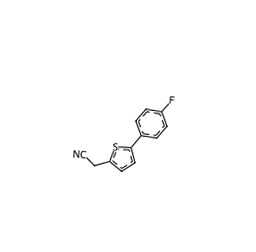 N#CCc1ccc(-c2ccc(F)cc2)s1